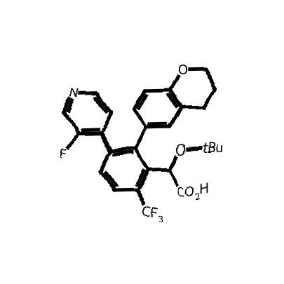 CC(C)(C)OC(C(=O)O)c1c(C(F)(F)F)ccc(-c2ccncc2F)c1-c1ccc2c(c1)CCCO2